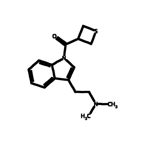 CN(C)CCc1cn(C(=O)C2CSC2)c2ccccc12